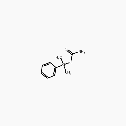 C[Si](C)(OC(N)=O)c1ccccc1